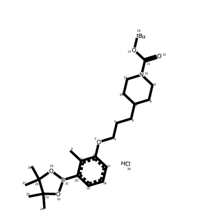 Cc1c(OCCCC2CCN(C(=O)OC(C)(C)C)CC2)cccc1B1OC(C)(C)C(C)(C)O1.Cl